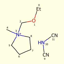 CCOC[N+]1(C)CCCC1.N#CNC#N